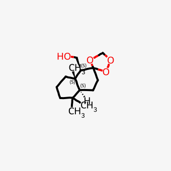 CC1(C)CCC[C@@]2(C)[C@H]1CCC1(OCOO1)[C@@H]2CO